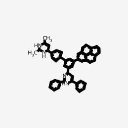 CC1=CC(c2ccc(-c3cc(C4=NC(c5ccccc5)NC(c5ccccc5)=C4)cc(-c4cc5ccc6cccc7ccc(c4)c5c67)c3)cc2)NC(C)N1